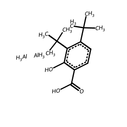 CC(C)(C)c1ccc(C(=O)O)c(O)c1C(C)(C)C.[AlH3].[AlH3]